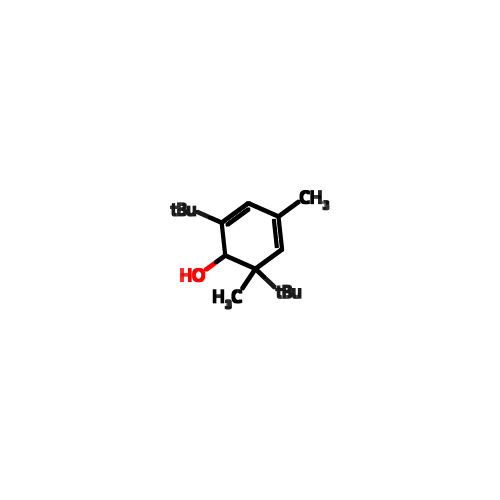 CC1=CC(C)(C(C)(C)C)C(O)C(C(C)(C)C)=C1